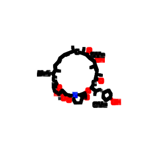 CO[C@@H]1C[C@H](C[C@@H](C)[C@@H]2CC(=O)[C@H](C)/C=C(\C)[C@@H](O)[C@@H](OC)C(=O)[C@H](C)C[C@H](C)/C=C/C=C/C=C(\C)[C@H](SC)C[C@@H]3CC[C@@H](C)[C@@](O)(O3)C(=O)C(=O)N3CCCC[C@H]3C(=O)O2)CC[C@H]1O